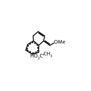 CC(=O)O.COC=C1C=CCc2ccccc21